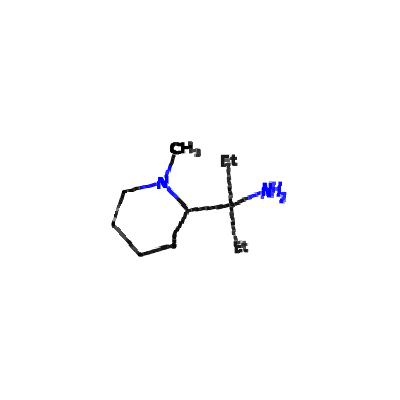 CCC(N)(CC)C1CCCCN1C